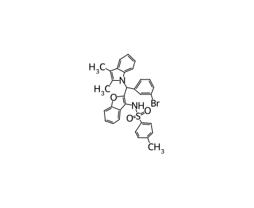 Cc1ccc(S(=O)(=O)Nc2c(C(c3cccc(Br)c3)n3c(C)c(C)c4ccccc43)oc3ccccc23)cc1